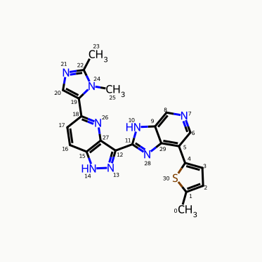 Cc1ccc(-c2cncc3[nH]c(-c4n[nH]c5ccc(-c6cnc(C)n6C)nc45)nc23)s1